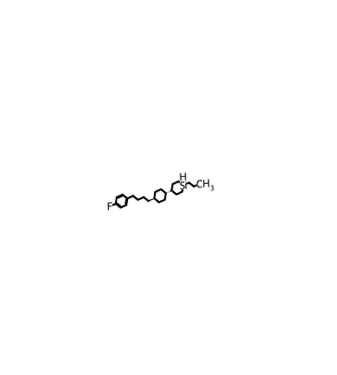 CCC[SiH]1CCC([C@H]2CC[C@H](CCCCc3ccc(F)cc3)CC2)CC1